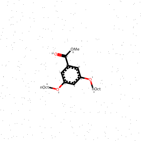 CCCCCCCCOc1cc(OCCCCCCCC)cc(C(=O)OC)c1